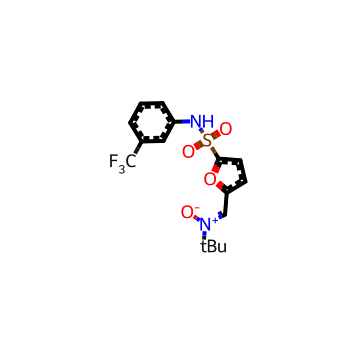 CC(C)(C)[N+]([O-])=Cc1ccc(S(=O)(=O)Nc2cccc(C(F)(F)F)c2)o1